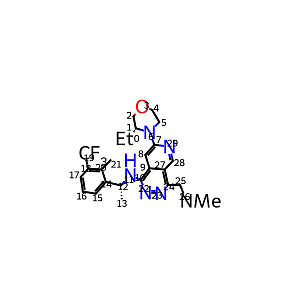 CC[C@@H]1COCCN1c1cc2c(N[C@H](C)c3cccc(C(F)(F)F)c3C)nnc(CNC)c2cn1